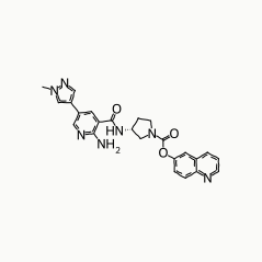 Cn1cc(-c2cnc(N)c(C(=O)N[C@@H]3CCN(C(=O)Oc4ccc5ncccc5c4)C3)c2)cn1